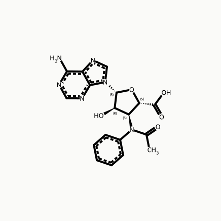 CC(=O)N(c1ccccc1)[C@H]1[C@@H](O)[C@H](n2cnc3c(N)ncnc32)O[C@@H]1C(=O)O